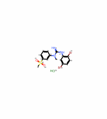 CN(C(=N)Nc1cc(Br)ccc1Br)c1cccc(S(C)(=O)=O)c1.Cl